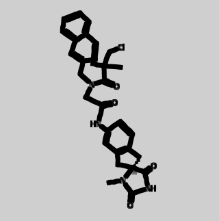 CN1C(=O)NC(=O)[C@@]12Cc1ccc(NC(=O)CN(Cc3ccc4ccccc4c3)C(=O)C(C)(C)CCl)cc1C2